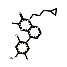 COc1cc(Cl)c(-c2ccnc3c2nc(C)c(=O)n3CCCC2CC2)cc1F